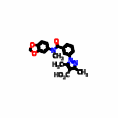 Cc1nn(-c2cccc(C(=O)N(C)c3ccc4c(c3)OCO4)c2)c(C)c1C(=O)O